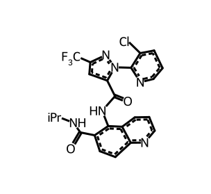 CC(C)NC(=O)c1ccc2ncccc2c1NC(=O)c1cc(C(F)(F)F)nn1-c1ncccc1Cl